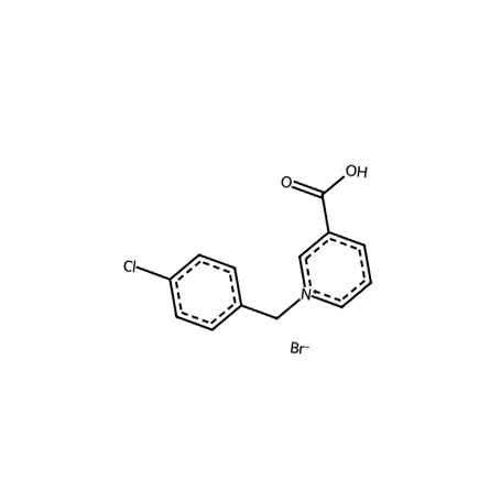 O=C(O)c1ccc[n+](Cc2ccc(Cl)cc2)c1.[Br-]